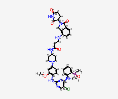 COc1cc(N2CCC(NC(=O)CCNc3cccc4c3CN(C3CCC(=O)NC3=O)C4=O)CC2)ccc1Nc1ncc(Cl)c(Nc2ccccc2P(C)(C)=O)n1